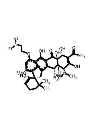 CCN(CC)CCOc1cc(OC)c2c3c(c4c(c(O)c13)C(=O)[C@@]1(O)[C@@H]([C@@H]4OC)[C@H](N(C)C)C(O)=C(C(N)=O)[C@H]1O)C[C@]21C(C)=CCCC1(C)C